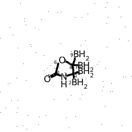 BC1(B)NC(=O)COC1(B)B